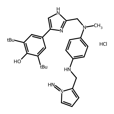 CN(Cc1nc(-c2cc(C(C)(C)C)c(O)c(C(C)(C)C)c2)c[nH]1)c1ccc(NCC2=CC=CS2=N)cc1.Cl